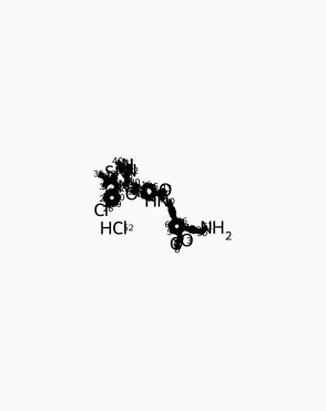 COC(=O)c1ccc(C#CCNC(=O)C2CCN(C(=O)C[C@@H]3N=C(c4ccc(Cl)cc4)c4c(sc(C)c4C)-n4c(C)nnc43)CC2)cc1C#CCN.Cl